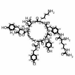 CC(O)C1NC(=O)[C@H](CCCCN)NC(=O)[C@@H](Cc2ccc(NC(=O)[C@@H](N)CCCNC(N)=O)cc2)NC(=O)[C@H](Cc2ccc(O)cc2)NC(=O)[C@H](NC(=O)CCc2ccc(Cl)cc2)CSSC[C@@H](C(=O)N[C@H](Cc2ccc(O)cc2)C(N)=O)NC1=O